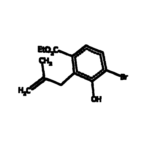 C=C(C)Cc1c(C(=O)OCC)ccc(Br)c1O